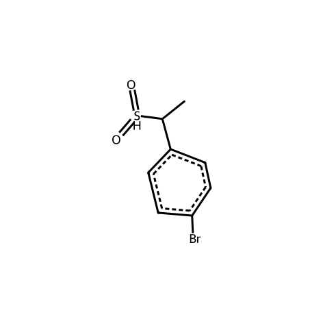 CC(c1ccc(Br)cc1)[SH](=O)=O